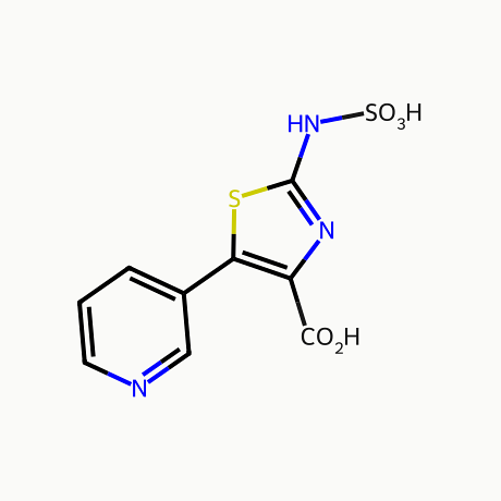 O=C(O)c1nc(NS(=O)(=O)O)sc1-c1cccnc1